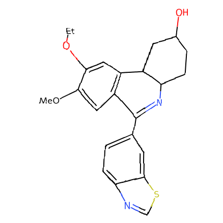 CCOc1cc2c(cc1OC)C(c1ccc3ncsc3c1)=NC1CCC(O)CC21